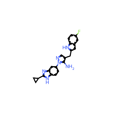 Nc1c(Cc2cc3cc(F)ccc3[nH]2)cnn1-c1ccc2[nH]c(C3CC3)nc2c1